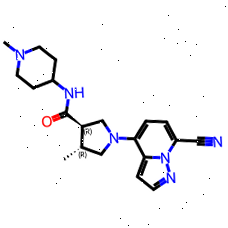 C[C@H]1CN(c2ccc(C#N)n3nccc23)C[C@@H]1C(=O)NC1CCN(C)CC1